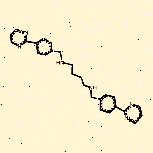 c1cnc(-c2ccc(CNCCCCNCc3ccc(-c4ncccn4)cc3)cc2)nc1